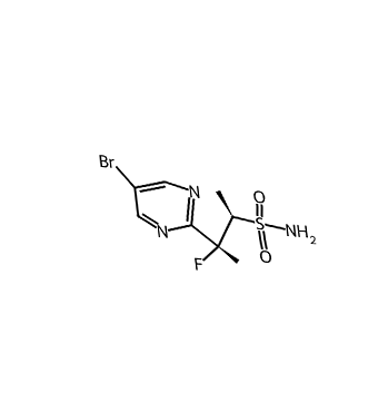 C[C@H]([C@](C)(F)c1ncc(Br)cn1)S(N)(=O)=O